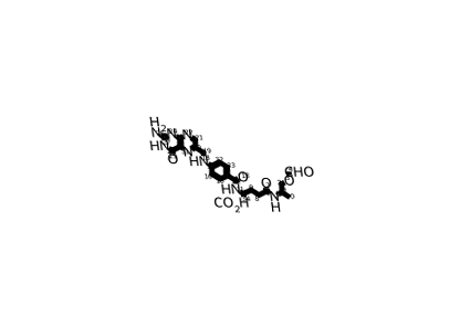 CC(COC=O)NC(=O)CCC(NC(=O)c1ccc(NCc2cnc3nc(N)[nH]c(=O)c3n2)cc1)C(=O)O